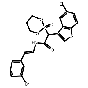 O=C(NC=Cc1cccc(Br)c1)C(c1csc2ccc(Cl)cc12)P1(=O)OCCCO1